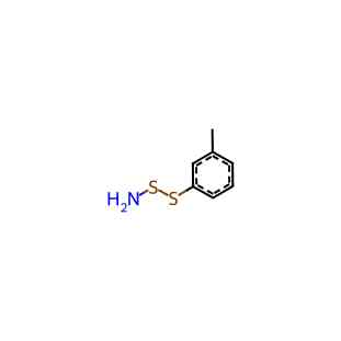 Cc1cccc(SSN)c1